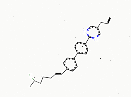 C=CCc1cnc(-c2ccc(-c3ccc(C=CCCCC(C)F)cc3)cc2)nc1